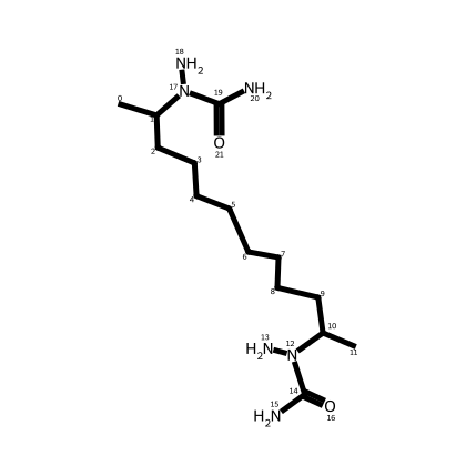 CC(CCCCCCCCC(C)N(N)C(N)=O)N(N)C(N)=O